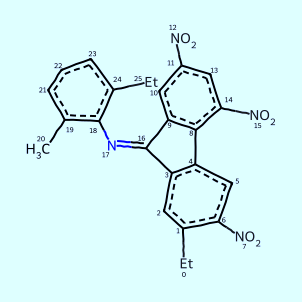 CCc1cc2c(cc1[N+](=O)[O-])-c1c(cc([N+](=O)[O-])cc1[N+](=O)[O-])C2=Nc1c(C)cccc1CC